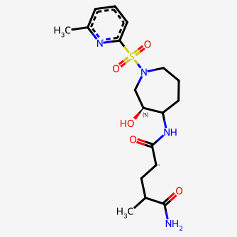 Cc1cccc(S(=O)(=O)N2CCCC(NC(=O)[CH]CC(C)C(N)=O)[C@@H](O)C2)n1